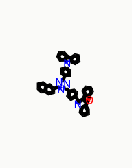 c1ccc2cc(-c3nc(-c4ccc(-c5nc6ccccc6c6oc7ccccc7c56)cc4)nc(-c4ccc(-n5c6ccccc6c6ccccc65)cc4)n3)ccc2c1